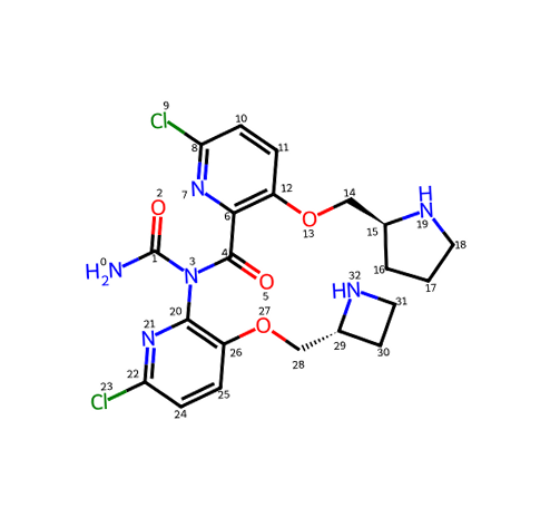 NC(=O)N(C(=O)c1nc(Cl)ccc1OC[C@@H]1CCCN1)c1nc(Cl)ccc1OC[C@H]1CCN1